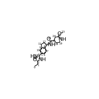 CCC1NC(c2ccc3c(c2)CC[C@H]3NC(=O)C2CCNC(OC)C2)NO1